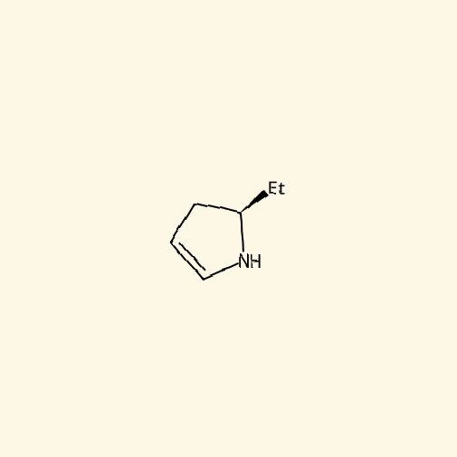 CC[C@@H]1CC=CN1